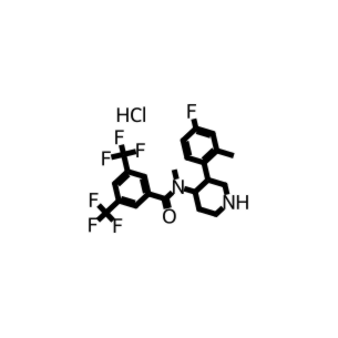 Cc1cc(F)ccc1C1CNCCC1N(C)C(=O)c1cc(C(F)(F)F)cc(C(F)(F)F)c1.Cl